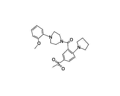 COc1ccccc1N1CCN(C(=O)c2cc(S(C)(=O)=O)ccc2N2CCCC2)CC1